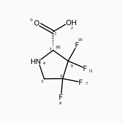 O=C(O)[C@H]1NCC(F)(F)C1(F)F